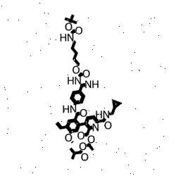 C=Cc1cc(C(=O)Nc2ccc(C(=N)NC(=O)OCCCCCNC(=O)OC(C)(C)C)cc2)c(-c2ccc(C(=O)NCC3CC3)nc2C(=O)OC(C)OC(=O)C(C)C)cc1OC